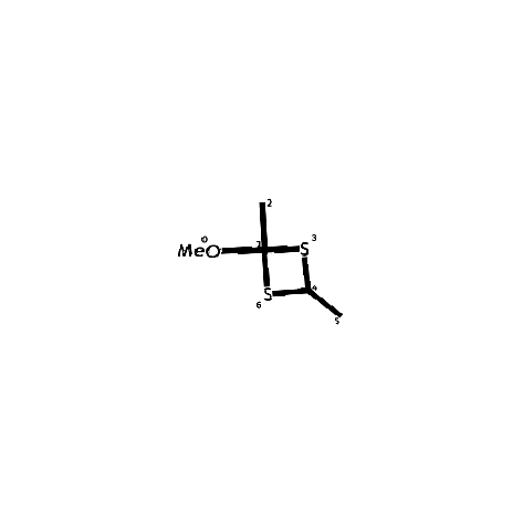 COC1(C)SC(C)S1